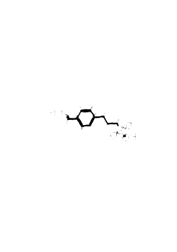 C=Cc1ccc(CCCS(=O)(=O)O)cc1